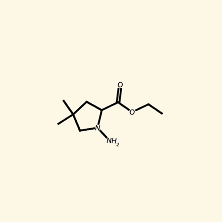 CCOC(=O)C1CC(C)(C)CN1N